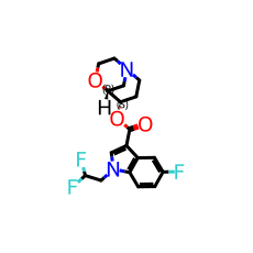 O=C(O[C@H]1CCN2CCO[C@@H]1C2)c1cn(CC(F)F)c2ccc(F)cc12